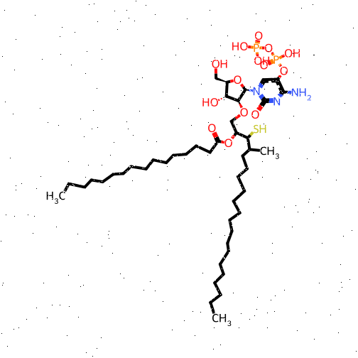 CCCCCCCCCCCCCCCCC(C)C(S)C(CO[C@H]1[C@H](O)[C@@H](CO)O[C@H]1n1cc(OP(=O)(O)OP(=O)(O)O)c(N)nc1=O)OC(=O)CCCCCCCCCCCCCCC